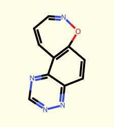 C1=Cc2c(ccc3nncnc23)ON=C1